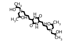 C[C@H](O)CN(CCCCC1NC(=O)C(CCCCN(C[C@H](C)O)C[C@H](C)O)NC1=O)C[C@H](C)O